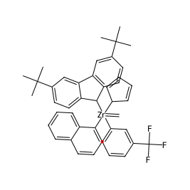 [CH2]=[Zr]([c]1cccc(C(F)(F)F)c1)([c]1cccc2ccccc12)([CH]1C=CC=C1)[CH]1c2ccc(C(C)(C)C)cc2-c2cc(C(C)(C)C)ccc21